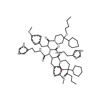 CCCCOC1(C2CCCCC2)CCN(C(=O)C(Cc2ccc(OC)cc2)N(C(=O)NCCc2c[nH]cn2)N(C(=O)NCCc2cnc[nH]2)C(Cc2ccc(OC)cc2)C(=O)N2CCC(C(=O)CCC)(C3CCCCC3)CC2)CC1